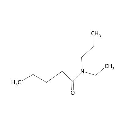 CCCCC(=O)N(CC)CCC